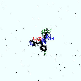 Oc1c(CCc2ccncc2)c(-c2ccc(F)cc2)nn1-c1cc(C(F)(F)F)n[nH]1